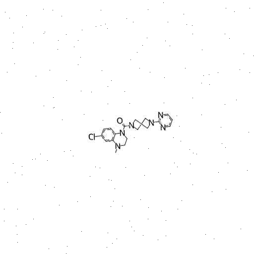 CN1CCN(C(=O)N2CC3(C2)CN(c2ncccn2)C3)c2ccc(Cl)cc21